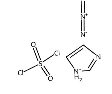 C1=C[NH2+]C=N1.O=S(=O)(Cl)Cl.[N-]=[N+]=[N-]